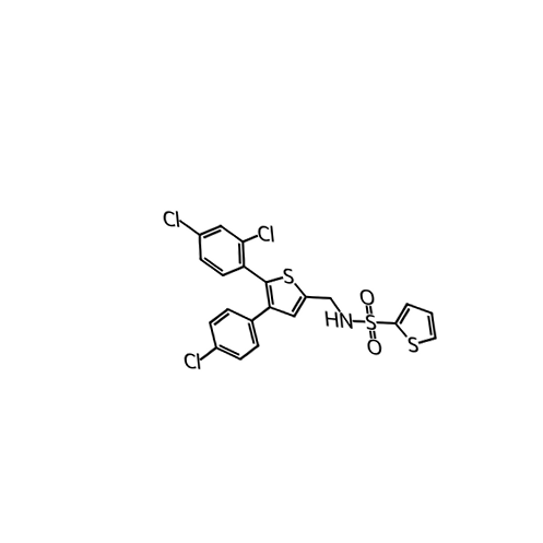 O=S(=O)(NCc1cc(-c2ccc(Cl)cc2)c(-c2ccc(Cl)cc2Cl)s1)c1cccs1